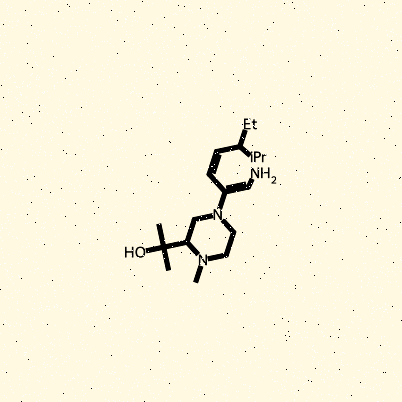 CCC(/C=C\C(=C/N)N1CCN(C)C(C(C)(C)O)C1)C(C)C